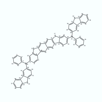 c1ccc(N(c2ccc3c(c2)sc2cc4cc5sc6cc(N(c7ccccc7)c7ccc8sc9ccccc9c8c7)ccc6c5cc4cc23)c2ccc3sc4ccccc4c3c2)cc1